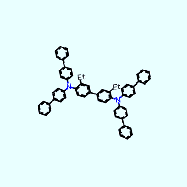 CCc1cc(-c2ccc(N(c3ccc(-c4ccccc4)cc3)c3ccc(-c4ccccc4)cc3)c(CC)c2)ccc1N(c1ccc(-c2ccccc2)cc1)c1ccc(-c2ccccc2)cc1